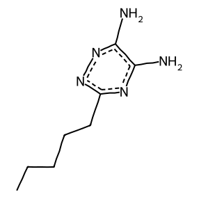 CCCCCc1nnc(N)c(N)n1